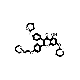 O=c1c(-c2ccc(OC3CCCCO3)cc2)c(-c2ccc(OCCN3CCCCC3)cc2)oc2cc(OC3CCCCO3)cc(O)c12